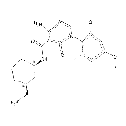 COc1cc(C)c(-n2cnc(N)c(C(=O)N[C@@H]3CCC[C@H](CN)C3)c2=O)c(Cl)c1